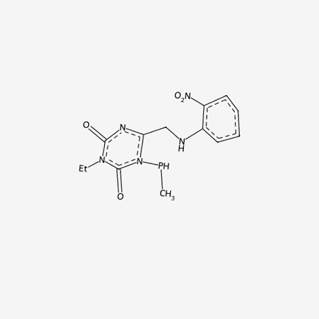 CCn1c(=O)nc(CNc2ccccc2[N+](=O)[O-])n(PC)c1=O